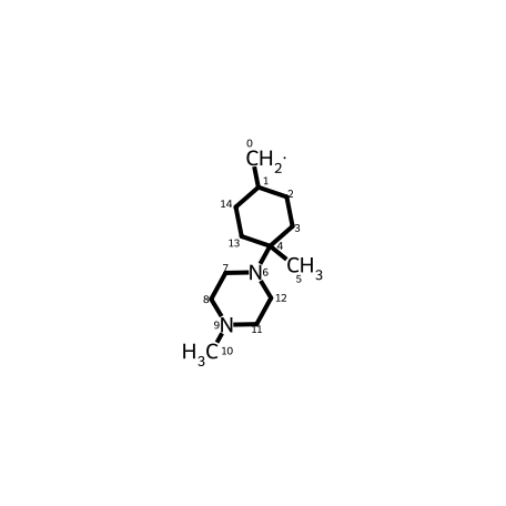 [CH2]C1CCC(C)(N2CCN(C)CC2)CC1